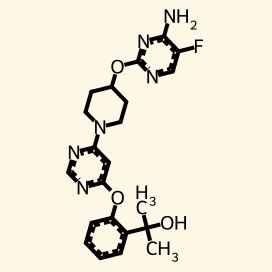 CC(C)(O)c1ccccc1Oc1cc(N2CCC(Oc3ncc(F)c(N)n3)CC2)ncn1